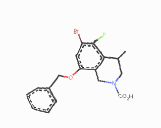 CC1CN(C(=O)O)Cc2c(OCc3ccccc3)cc(Br)c(F)c21